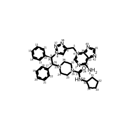 Nc1ncn(Cc2cn([C@H](c3ccccc3)[C@H](c3ccccc3)N3CCN(C(=O)NC4CCCC4)CC3)nn2)c2ncnc1-2